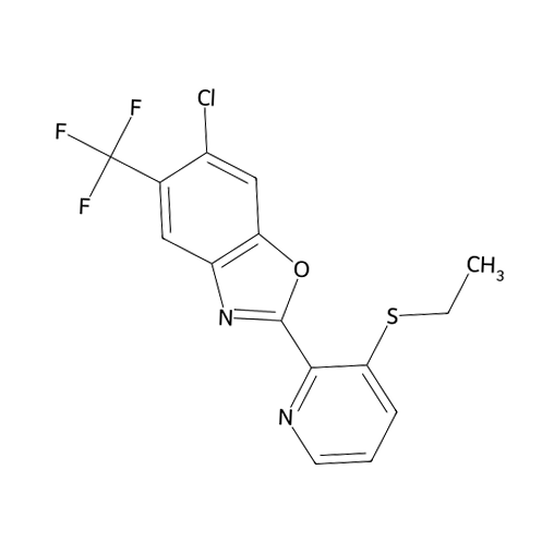 CCSc1cccnc1-c1nc2cc(C(F)(F)F)c(Cl)cc2o1